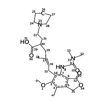 COc1c(C)c2c(c(NC(=O)N(C)C)c1C/C=C(\C)CC(CCN1CCCCC1)C(=O)O)C(=O)OC2